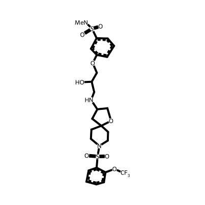 CNS(=O)(=O)c1cccc(OCC(O)CNC2COC3(CCN(S(=O)(=O)c4ccccc4OC(F)(F)F)CC3)C2)c1